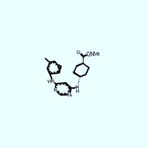 COC(=O)[C@H]1CC[C@H](Nc2cc(Nc3cccc(C)c3)ncn2)CC1